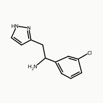 NC(Cc1cc[nH]n1)c1cccc(Cl)c1